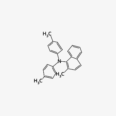 Cc1ccc(N(c2ccc(C)cc2)c2c(C)ccc3ccccc23)cc1